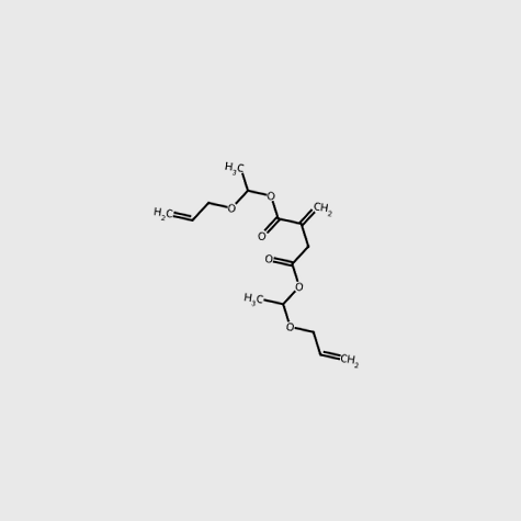 C=CCOC(C)OC(=O)CC(=C)C(=O)OC(C)OCC=C